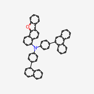 c1ccc2c(-c3ccc(N(c4ccc(-c5cc6ccccc6c6ccccc56)cc4)c4cccc5c4ccc4c6ccccc6oc54)cc3)cccc2c1